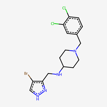 Clc1ccc(CN2CCC(NCc3n[nH]cc3Br)CC2)cc1Cl